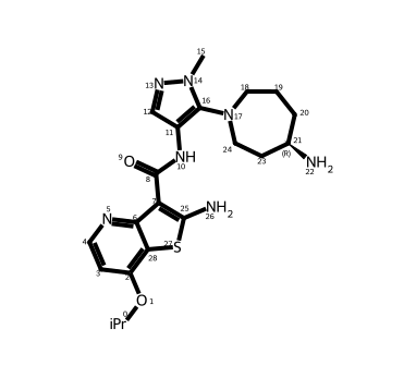 CC(C)Oc1ccnc2c(C(=O)Nc3cnn(C)c3N3CCC[C@@H](N)CC3)c(N)sc12